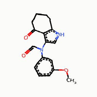 COc1cccc(N(C=O)c2c[nH]c3c2C(=O)CCCC3)c1